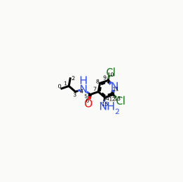 CC(C)CNC(=O)c1cc(Cl)nc(Cl)c1N